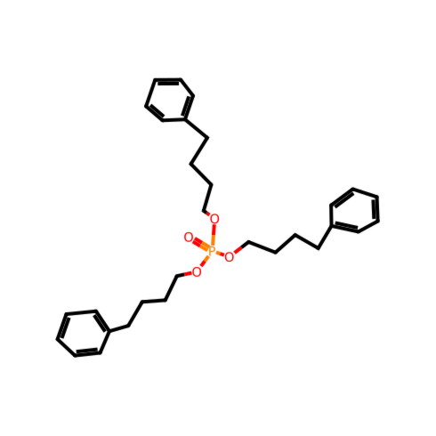 O=P(OCCCCc1ccccc1)(OCCCCc1ccccc1)OCCCCc1ccccc1